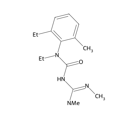 CCc1cccc(C)c1N(CC)C(=O)NC(=NC)NC